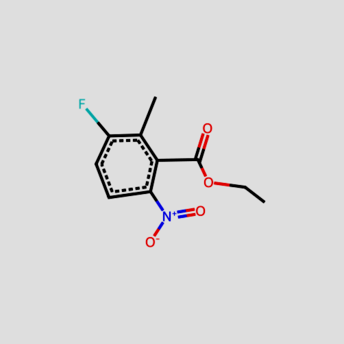 CCOC(=O)c1c([N+](=O)[O-])ccc(F)c1C